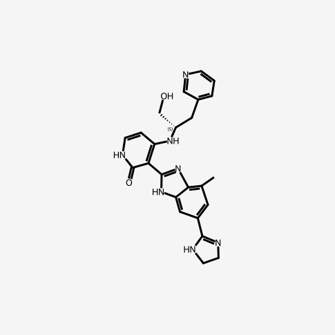 Cc1cc(C2=NCCN2)cc2[nH]c(-c3c(N[C@H](CO)Cc4cccnc4)cc[nH]c3=O)nc12